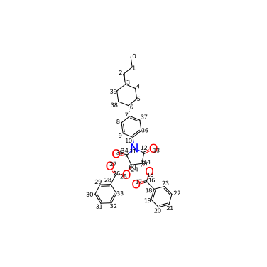 CCC[C@H]1CC[C@H](c2ccc(N3C(=O)[C@H](OC(=O)c4ccccc4)[C@@H](OC(=O)c4ccccc4)C3=O)cc2)CC1